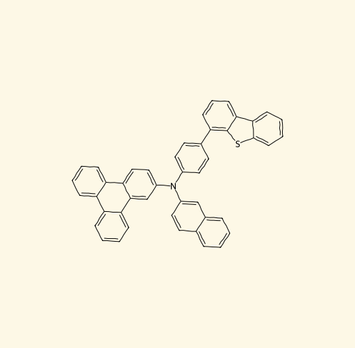 c1ccc2cc(N(c3ccc(-c4cccc5c4sc4ccccc45)cc3)c3ccc4c5ccccc5c5ccccc5c4c3)ccc2c1